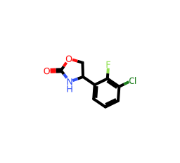 O=C1NC(c2cccc(Cl)c2F)CO1